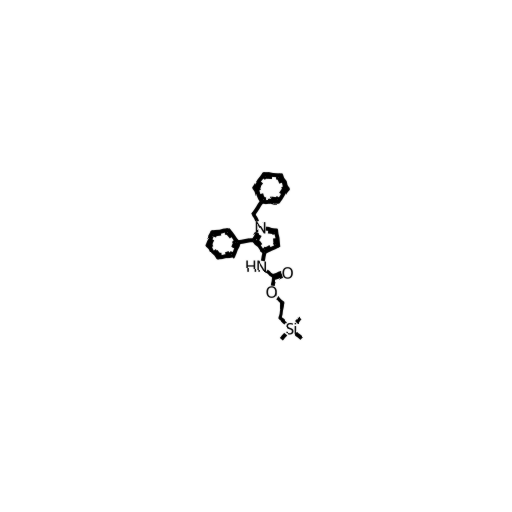 C[Si](C)(C)CCOC(=O)Nc1ccn(Cc2ccccc2)c1-c1ccccc1